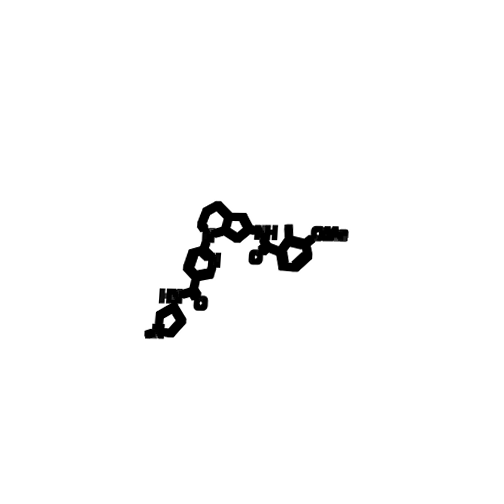 COc1cccc(C(=O)NC2CC3CCCN(c4ccc(C(=O)N[C@H]5CCN(C)C5)cn4)C3C2)c1C